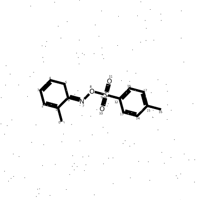 [CH2]C1=CC=CCC1=NOS(=O)(=O)c1ccc(C)cc1